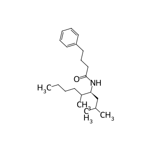 CCCCC(C)[C@H](CC(C)C)NC(=O)CCCc1ccccc1